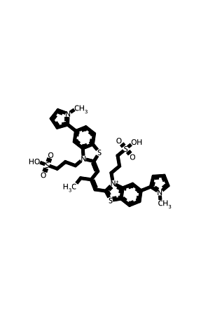 CCC(=Cc1sc2ccc(-c3cccn3C)cc2[n+]1CCCS(=O)(=O)O)C=C1Sc2ccc(-c3cccn3C)cc2N1CCCS(=O)(=O)O